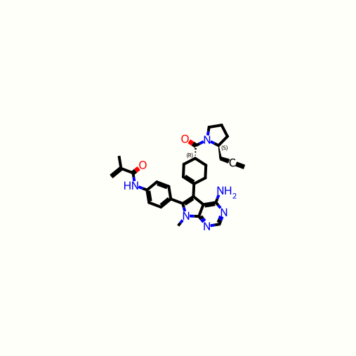 C=C=C[C@@H]1CCCN1C(=O)[C@H]1CC=C(c2c(-c3ccc(NC(=O)C(=C)C)cc3)n(C)c3ncnc(N)c23)CC1